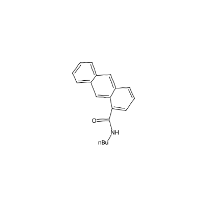 [CH2]CCCNC(=O)c1cccc2cc3ccccc3cc12